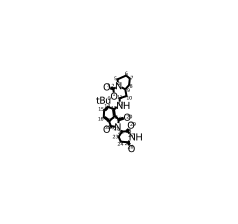 CC(C)(C)OC(=O)N1CCCCC1CCNc1cccc2c1C(=O)N(C1CCC(=O)NC1=O)C2=O